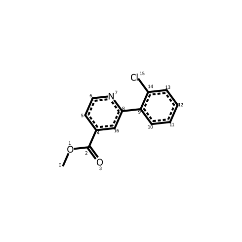 COC(=O)c1ccnc(-c2ccccc2Cl)c1